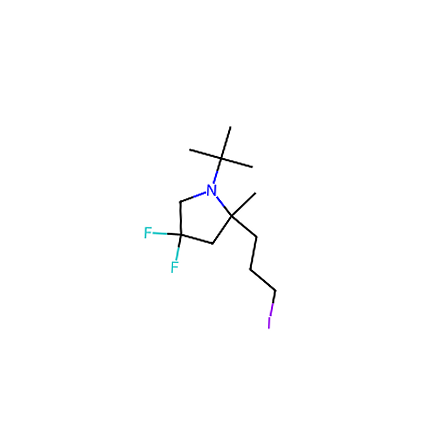 CC(C)(C)N1CC(F)(F)CC1(C)CCCI